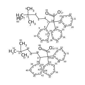 CC(C)(C)CCCC(c1ccccc1)C(C(=O)[O-])(c1ccccc1)c1ccccc1.CC(C)(C)CCCC(c1ccccc1)C(C(=O)[O-])(c1ccccc1)c1ccccc1.[Pb+2]